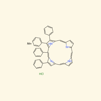 C1=Cc2cc3[nH]c(c(-c4ccccc4)c4nc(cc5ccc(cc1n2)[nH]5)C=C4c1ccccc1)c(-c1ccccc1)c3-c1ccccc1.Cl.[Mn]